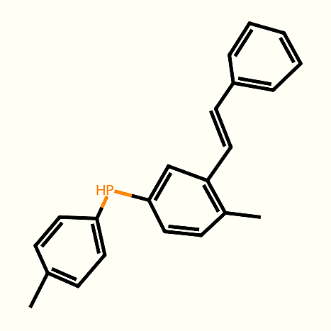 Cc1ccc(Pc2ccc(C)c(C=Cc3ccccc3)c2)cc1